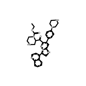 CCOC(=O)N1CCNCC1C(=O)c1nn2c(-c3ccnc4ccccc34)cnc2cc1-c1ccc(N2CCNCC2)cc1